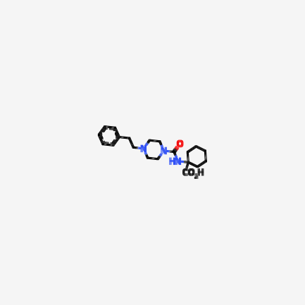 O=C(NC1(C(=O)O)CCCCC1)N1CCN(CCc2ccccc2)CC1